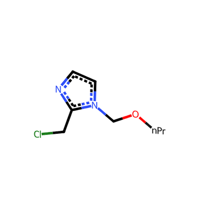 CCCOCn1ccnc1CCl